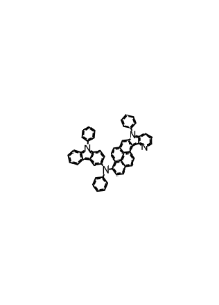 c1ccc(N(c2ccc3c(c2)c2ccccc2n3-c2ccccc2)c2ccc3ccc4c5c(ccc2c35)cc2c4c3ncccc3n2-c2ccccc2)cc1